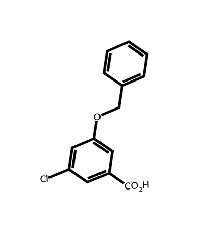 O=C(O)c1cc(Cl)cc(OCc2ccccc2)c1